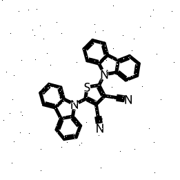 N#Cc1c(-n2c3ccccc3c3ccccc32)sc(-n2c3ccccc3c3ccccc32)c1C#N